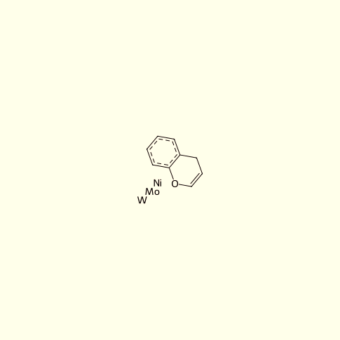 C1=COc2ccccc2C1.[Mo].[Ni].[W]